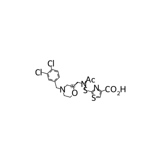 CC(=O)N(C[C@@H]1CN(Cc2ccc(Cl)c(Cl)c2)CCO1)Sc1nc(C(=O)O)cs1